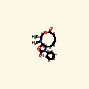 C[C@@H]1COC(=O)CCC=CC[C@@H](N(C(=O)O)c2ccccc2)C(=O)N1C